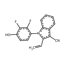 C=Cc1c(C#N)c2ccccc2n1-c1ccc(O)c(F)c1F